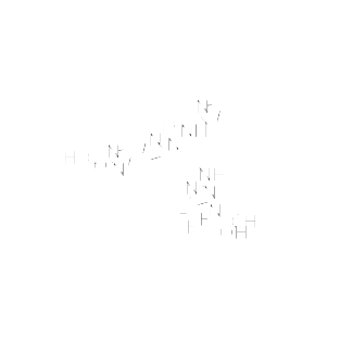 COc1ncc(-c2ccc(N(C(=O)NCc3ccccn3)[C@H]3CC[C@H](Nc4ncc(C(F)(F)F)c(N5CC(C)(O)C5)n4)CC3)nc2)cn1